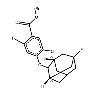 CC(C)(C)OC(=O)c1cc(Cl)c(OC2[C@H]3CC4C[C@H]2CC(F)(C4)C3)cc1F